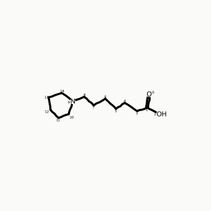 O=C(O)CCCCCCN1CCCCC1